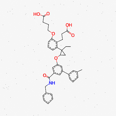 CCC1(c2cccc(OCCCC(=O)O)c2CCC(=O)O)CC1Oc1cc(C(=O)NCc2ccccc2)cc(-c2cccc(C)c2)c1